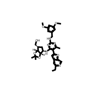 CCc1cc2cc(-c3c(C)nc(NCc4cc(OC)cc(OC)c4)nc3N[C@@H]3C[C@H](CO)[C@H]4OC(C)(C)O[C@H]43)oc2cn1